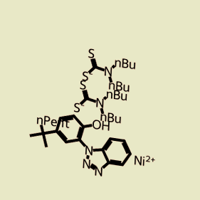 CCCCCC(C)(C)c1ccc(O)c(-n2nnc3ccccc32)c1.CCCCN(CCCC)C(=S)[S-].CCCCN(CCCC)C(=S)[S-].[Ni+2]